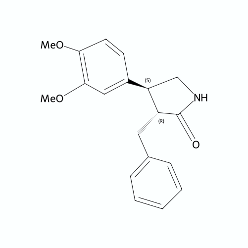 COc1ccc([C@H]2CNC(=O)[C@@H]2Cc2ccccc2)cc1OC